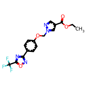 CCOC(=O)c1cnn(COc2ccc(-c3noc(C(F)(F)F)n3)cc2)c1